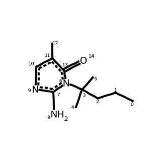 CCCC(C)(C)n1c(N)ncc(C)c1=O